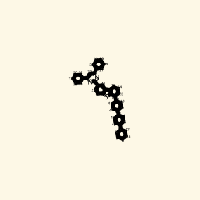 c1ccc(-c2ccc(-c3ccc(-c4cccc5c4sc4ccc(-c6nc(-c7ccccc7)cc(-c7ccccc7)n6)cc45)cc3)cc2)cc1